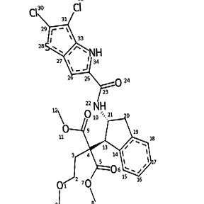 COCCC(C(=O)OC)(C(=O)OC)[C@@H]1c2ccccc2C[C@H]1NC(=O)c1cc2sc(Cl)c(Cl)c2[nH]1